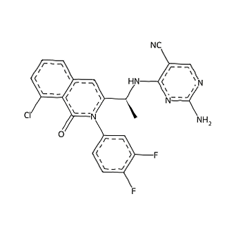 C[C@H](Nc1nc(N)ncc1C#N)c1cc2cccc(Cl)c2c(=O)n1-c1ccc(F)c(F)c1